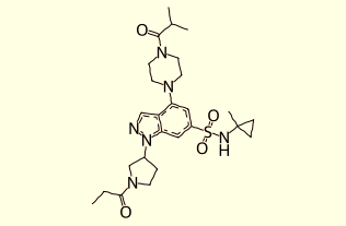 CCC(=O)N1CCC(n2ncc3c(N4CCN(C(=O)C(C)C)CC4)cc(S(=O)(=O)NC4(C)CC4)cc32)C1